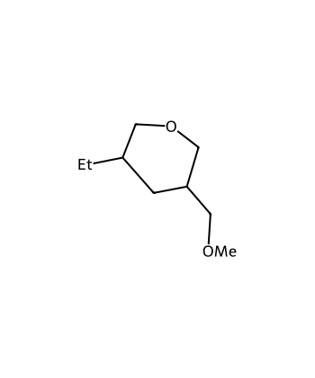 CCC1COCC(COC)C1